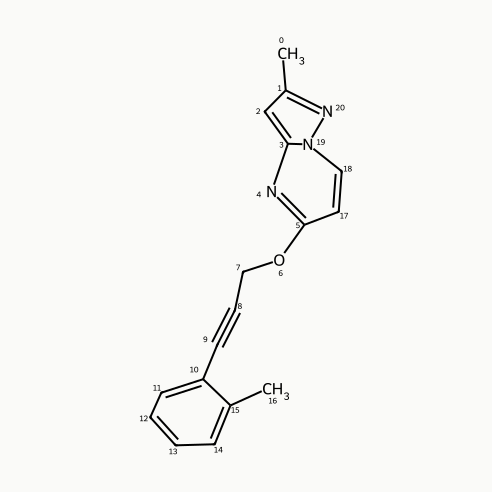 Cc1cc2nc(OCC#Cc3ccccc3C)ccn2n1